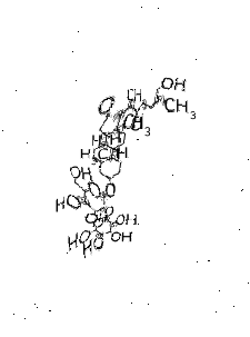 C[C@@H](CO)CCC(=O)[C@@H](C)[C@H]1C(=O)C[C@H]2[C@@H]3CC=C4CC(O[C@@H]5OC(CO)[C@@H](O)C(O)[C@@H]5O[C@@H]5OC(O)[C@H](O)C(O)[C@@H]5O)CC[C@]4(C)[C@H]3CC[C@]12C